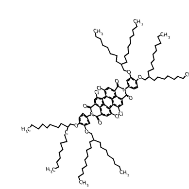 CCCCCCCCCCC(CCCCCCCC)COc1ccc(N2C(=O)c3cc(Cl)c4c5c(Cl)cc6c7c(cc(Cl)c(c8c(Cl)cc(c3c48)C2=O)c75)C(=O)N(c2ccc(OCC(CCCCCCCC)CCCCCCCCCC)c(OCC(CCCCCCCC)CCCCCCCCCC)c2)C6=O)cc1OCC(CCCCCCCC)CCCCCCCCCC